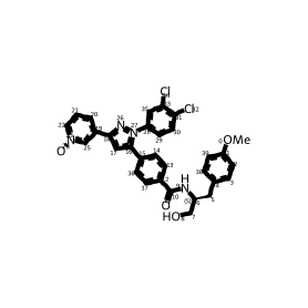 COc1ccc(C[C@@H](CO)NC(=O)c2ccc(-c3cc(-c4ccc[n+]([O-])c4)nn3-c3ccc(Cl)c(Cl)c3)cc2)cc1